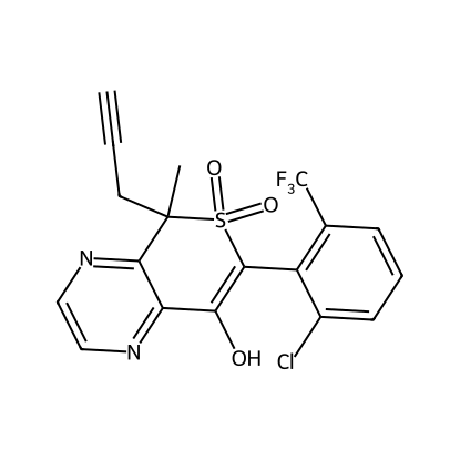 C#CCC1(C)c2nccnc2C(O)=C(c2c(Cl)cccc2C(F)(F)F)S1(=O)=O